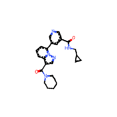 O=C(NCC1CC1)c1cncc(-c2cccc3c(C(=O)N4CCCCC4)cnn23)c1